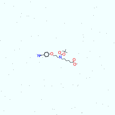 COC(=O)CCCCCN(CCCOc1ccc(C#N)cc1)C(=O)OC(C)(C)C